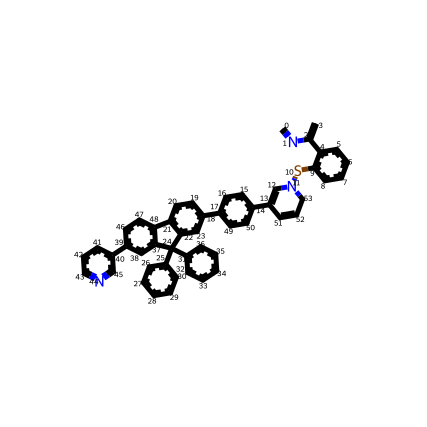 C=NC(=C)c1ccccc1SN1C=C(c2ccc(-c3ccc4c(c3)C(c3ccccc3)(c3ccccc3)c3cc(-c5cccnc5)ccc3-4)cc2)C=CC1